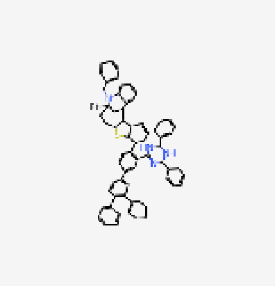 CCC12CCC3SC4C(c5ccc(-c6ccc(-c7ccccc7)c(C7=CCCCC7)c6)cc5C5=NC(C6C=CC=CC6)NC(C6=CC=CCC6)N5)CC=CC4C3C(C1)c1ccccc1N2Cc1ccccc1